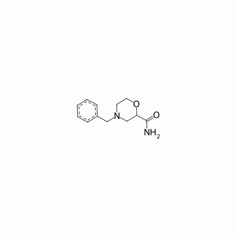 NC(=O)C1CN(Cc2ccccc2)CCO1